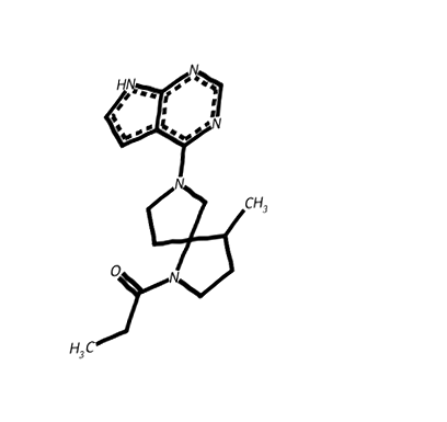 CCC(=O)N1CCC(C)C12CCN(c1ncnc3[nH]ccc13)C2